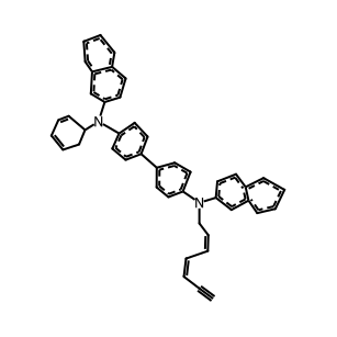 C#C/C=C\C=C/CN(c1ccc(-c2ccc(N(c3ccc4ccccc4c3)C3C=CC=CC3)cc2)cc1)c1ccc2ccccc2c1